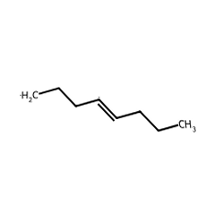 [CH2]CC[C]=CCCC